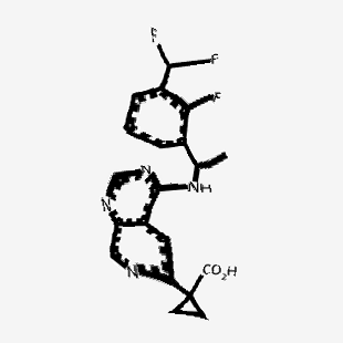 CC(Nc1ncnc2cnc(C3(C(=O)O)CC3)cc12)c1cccc(C(F)F)c1F